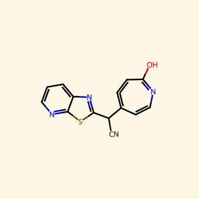 N#CC(C1=C=CC(O)=NC=C1)c1nc2cccnc2s1